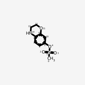 CS(=O)(=O)Oc1ccc2c(c1)OCCN2